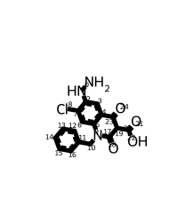 NNc1cc2c(cc1Cl)N(Cc1ccccc1)C(=O)C(C(=O)O)C2=O